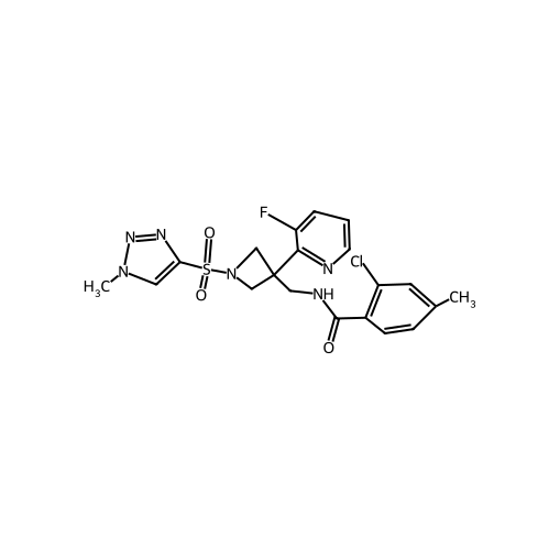 Cc1ccc(C(=O)NCC2(c3ncccc3F)CN(S(=O)(=O)c3cn(C)nn3)C2)c(Cl)c1